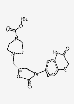 CC(C)(C)OC(=O)N1CCN(C[C@@H]2CN(c3ccc4c(c3)NC(=O)CS4)C(=O)O2)CC1